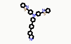 c1ccc2sc(-c3ccc(N(c4ccc(-c5ccc(-c6ccc7cnccc7c6)cc5)cc4)c4ccc(-c5nc6ccccc6s5)cc4)cc3)nc2c1